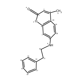 Cc1cc(=O)oc2cc(NCCc3ccccc3)ccc12